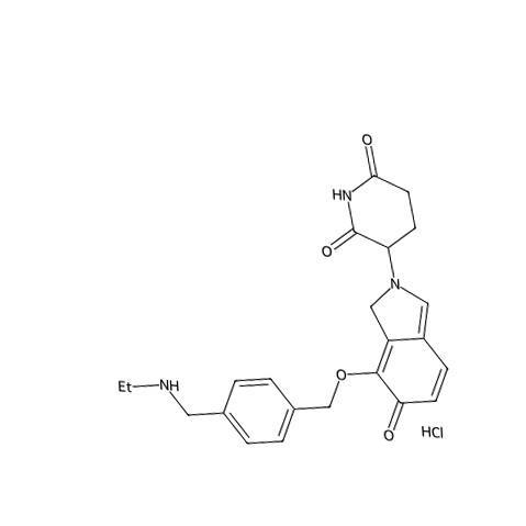 CCNCc1ccc(COC2=C3CN(C4CCC(=O)NC4=O)C=C3C=CC2=O)cc1.Cl